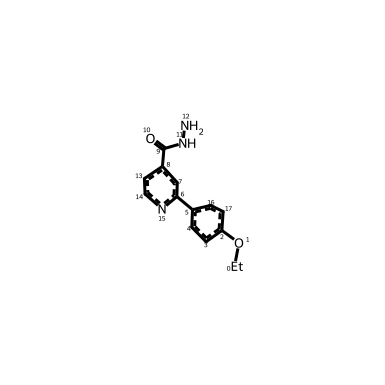 CCOc1ccc(-c2cc(C(=O)NN)ccn2)cc1